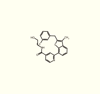 Cc1c(Cc2cccc(C(F)(F)F)c2)sc2c(-c3cc(C(=O)NCCO)ccn3)cccc12